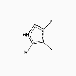 Cc1c(F)c[nH]c1Br